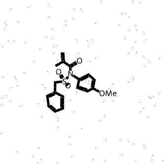 C=C(C)C(=O)N(c1ccc(OC)cc1)S(=O)(=O)Cc1ccccc1